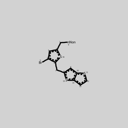 CCCCCCCCCCc1cc(Br)c(Cc2cc3sccc3s2)s1